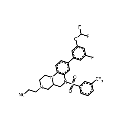 N#CCCN1CCN2c3ccc(-c4cc(F)cc(OC(F)F)c4)cc3N(S(=O)(=O)c3cccc(C(F)(F)F)c3)CC2C1